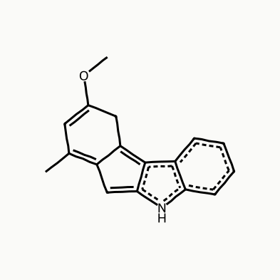 COC1=CC(C)=C2C=c3[nH]c4ccccc4c3=C2C1